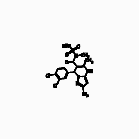 CCCCS(=O)(=O)N(C)C(=O)C1=C(C)Nc2cc(C(F)(F)F)nn2C1c1ccc(Cl)c(Cl)c1